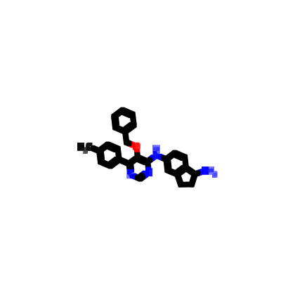 Cc1ccc(-c2ncnc(Nc3ccc4c(c3)CCC4N)c2OCc2ccccc2)cc1